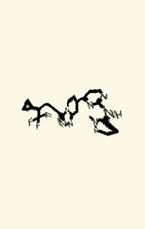 Cn1nccc1Nc1nccc(-c2ccn3c(CC(C4CC4)C(F)(F)F)nnc3c2)n1